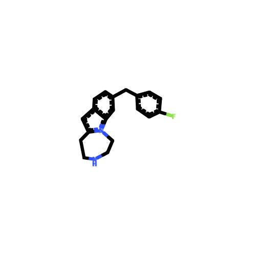 Fc1ccc(Cc2ccc3cc4n(c3c2)CCNCC4)cc1